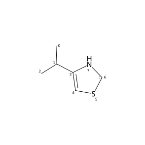 CC(C)C1=CS[C]N1